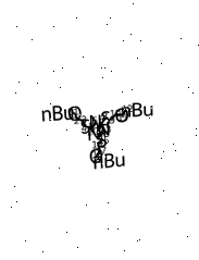 CCCCOCCSc1nc(SCCOCCCC)nc(SCCOCCCC)n1